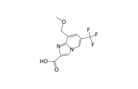 COCc1cc(C(F)(F)F)cn2cc(C(=O)O)nc12